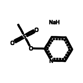 CS(=O)(=O)Oc1ccccn1.[NaH]